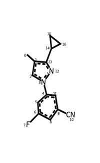 Cc1cn(-c2cc(F)cc(C#N)c2)nc1C1CC1